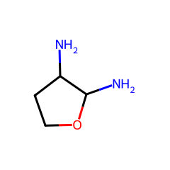 NC1CCOC1N